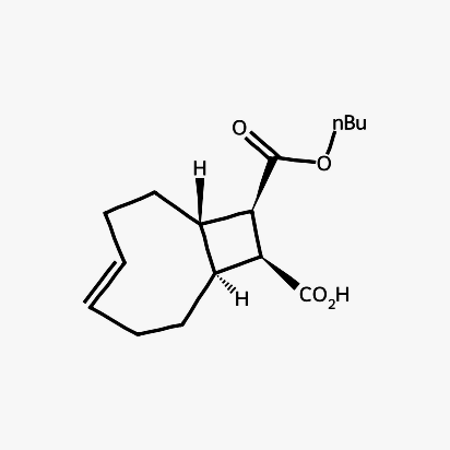 CCCCOC(=O)[C@@H]1[C@H]2CC/C=C/CC[C@@H]2[C@@H]1C(=O)O